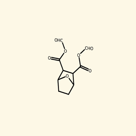 O=COC(=O)C1C2CCC(O2)C1C(=O)OC=O